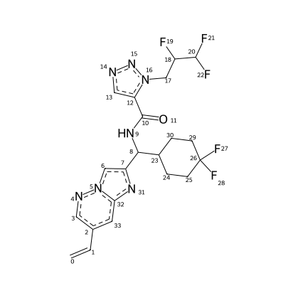 C=Cc1cnn2cc(C(NC(=O)c3cnnn3CC(F)C(F)F)C3CCC(F)(F)CC3)nc2c1